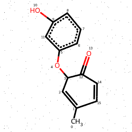 CC1=CC(Oc2cccc(O)c2)C(=O)C=C1